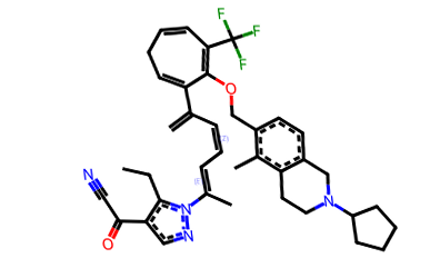 C=C(/C=C\C=C(/C)n1ncc(C(=O)C#N)c1CC)C1=CCC=CC(C(F)(F)F)=C1OCc1ccc2c(c1C)CCN(C1CCCC1)C2